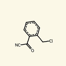 N#CC(=O)c1ccccc1CCl